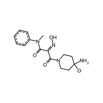 CN(C(=O)C(=NO)C(=O)N1CCC(N)([O])CC1)c1ccccc1